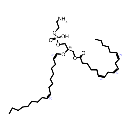 CCCCC/C=C\C/C=C\C/C=C\CCCCC(=O)OC[C@H](COP(=O)(O)OCCN)O/C=C\CCCCCC/C=C\CCCCCCCC